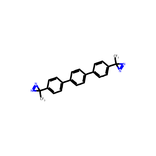 FC(F)(F)C1(c2ccc(-c3ccc(-c4ccc(C5(C(F)(F)F)N=N5)cc4)cc3)cc2)N=N1